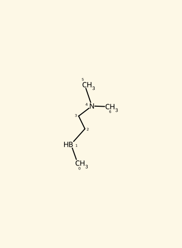 CBCCN(C)C